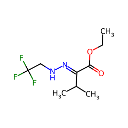 CCOC(=O)C(=NNCC(F)(F)F)C(C)C